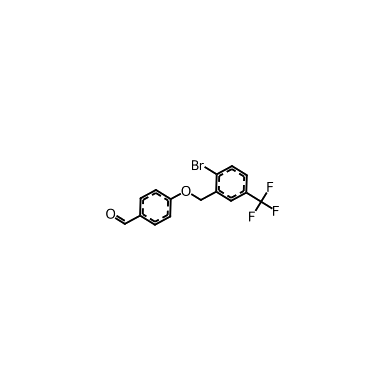 O=Cc1ccc(OCc2cc(C(F)(F)F)ccc2Br)cc1